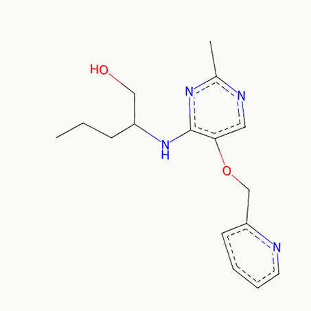 CCCC(CO)Nc1nc(C)ncc1OCc1ccccn1